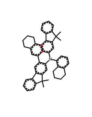 CC1(C)c2ccccc2-c2ccc(N(c3cc4c(cc3-c3ccc5c(c3)CCCC5)-c3ccccc3C4(C)C)c3cccc4c3CCCC4)cc21